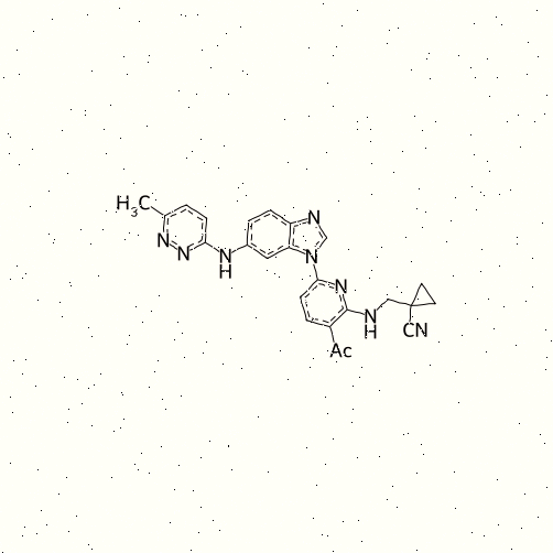 CC(=O)c1ccc(-n2cnc3ccc(Nc4ccc(C)nn4)cc32)nc1NCC1(C#N)CC1